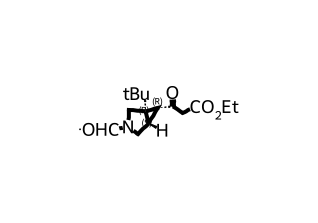 CCOC(=O)CC(=O)[C@@H]1[C@@H]2CN([C]=O)C[C@@]12C(C)(C)C